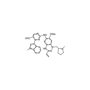 C=CC(=O)Nc1cc(Nc2ncc(C=O)c(-c3cn(C)c4ccccc34)n2)c(OC)cc1N(C)CC1CCCN1C